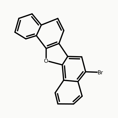 Brc1cc2c3ccc4ccccc4c3oc2c2ccccc12